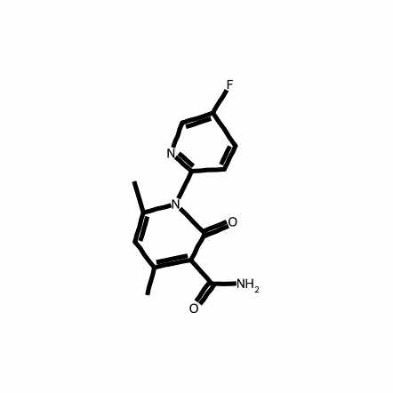 Cc1cc(C)n(-c2ccc(F)cn2)c(=O)c1C(N)=O